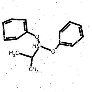 CC(C)[SiH](Oc1ccccc1)Oc1ccccc1